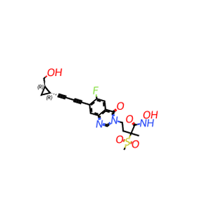 CC(CCn1cnc2cc(C#CC#C[C@@H]3C[C@H]3CO)c(F)cc2c1=O)(C(=O)NO)S(C)(=O)=O